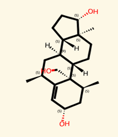 C[C@H]1C[C@H]2[C@@H]3CC[C@H](O)[C@@]3(C)CC[C@@H]2[C@]2(CO)C1=C[C@@H](O)C[C@@H]2C